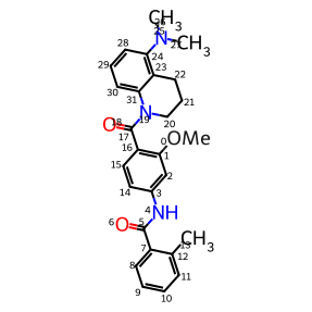 COc1cc(NC(=O)c2ccccc2C)ccc1C(=O)N1CCCc2c(N(C)C)cccc21